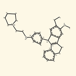 CCc1cc2c(cc1OC)C1=C(c3ccccc3CC1)C2c1ccc(OCCN2CCCCC2)cc1